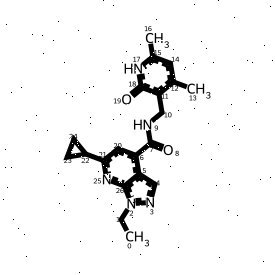 CCn1ncc2c(C(=O)NCc3c(C)cc(C)[nH]c3=O)cc(C3CC3)nc21